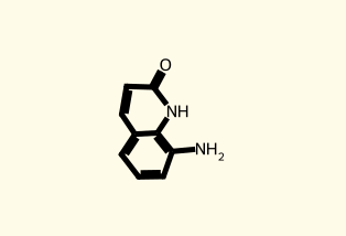 Nc1cccc2ccc(=O)[nH]c12